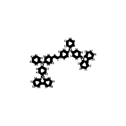 C(=Cc1ccc(N(c2ccccc2)c2ccc(-n3c4ccccc4c4ccccc43)cc2)cc1)c1ccc(N(c2ccccc2)c2ccc(-n3c4ccccc4c4ccccc43)cc2)cc1